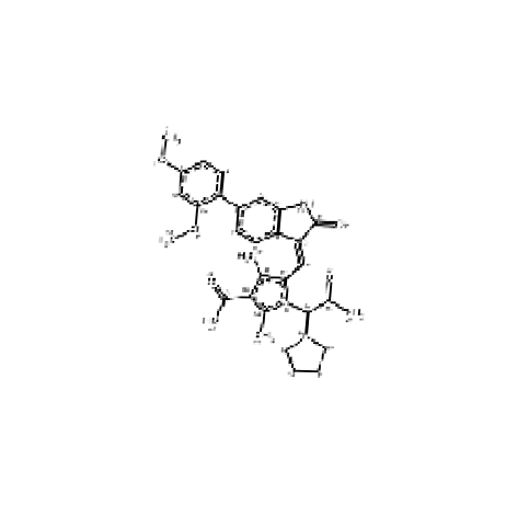 COc1ccc(-c2ccc3c(c2)NC(=O)C3=Cc2c(C)c(C(=O)O)c(C)n2C(C(N)=O)N2CCCC2)c(OC)c1